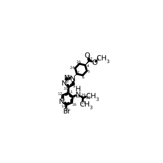 COC(=O)[C@H]1CC[C@H](n2cc(-c3cnc(Br)cc3NC(C)C)nn2)CC1